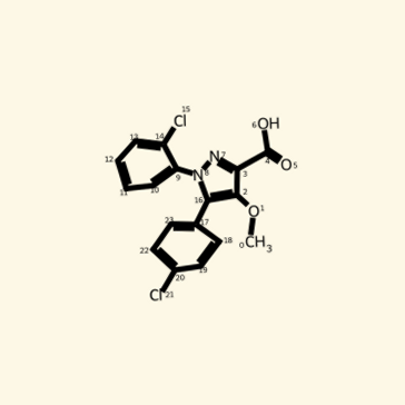 COc1c(C(=O)O)nn(-c2ccccc2Cl)c1-c1ccc(Cl)cc1